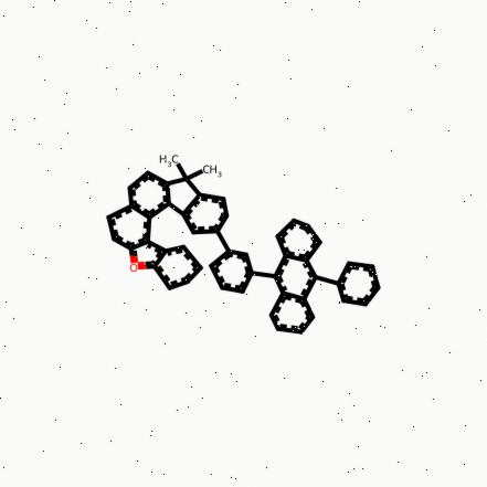 CC1(C)c2ccc(-c3cccc(-c4c5ccccc5c(-c5ccccc5)c5ccccc45)c3)cc2-c2c1ccc1ccc3oc4ccccc4c3c21